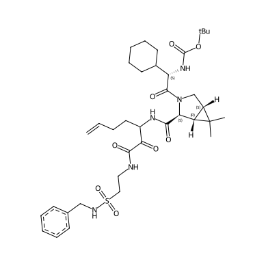 C=CCCC(NC(=O)[C@@H]1[C@@H]2[C@H](CN1C(=O)[C@@H](NC(=O)OC(C)(C)C)C1CCCCC1)C2(C)C)C(=O)C(=O)NCCS(=O)(=O)NCc1ccccc1